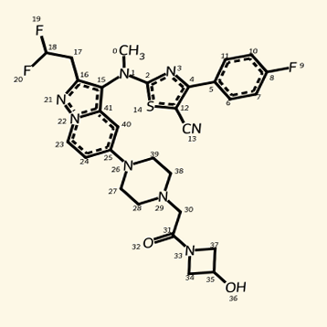 CN(c1nc(-c2ccc(F)cc2)c(C#N)s1)c1c(CC(F)F)nn2ccc(N3CCN(CC(=O)N4CC(O)C4)CC3)cc12